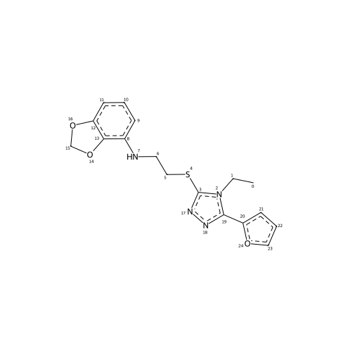 CCn1c(SCCNc2cccc3c2OCO3)nnc1-c1ccco1